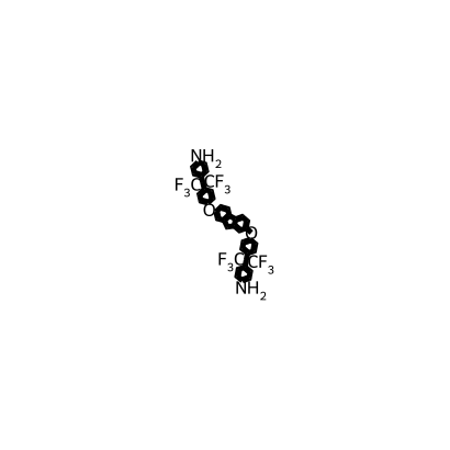 Nc1ccc(C(c2ccc(Oc3ccc4c(c3)Cc3cc(Oc5ccc(C(c6ccc(N)cc6)(C(F)(F)F)C(F)(F)F)cc5)ccc3-4)cc2)(C(F)(F)F)C(F)(F)F)cc1